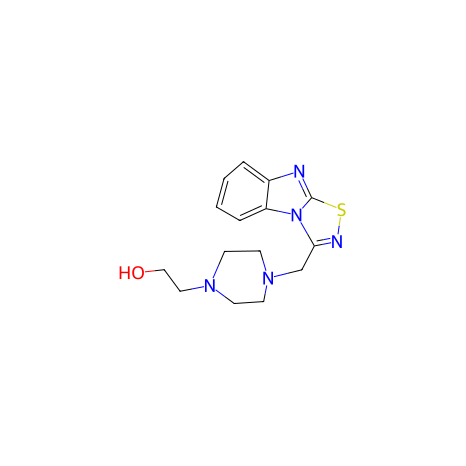 OCCN1CCN(Cc2nsc3nc4ccccc4n23)CC1